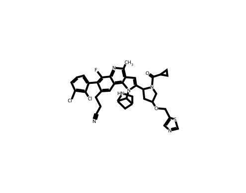 Cc1nc2c(F)c(-c3cccc(Cl)c3Cl)c(CCC#N)cc2c2c1cc(C1CC(OCc3cncs3)CN1C(=O)C1CC1)n2C1C2CNC1C2